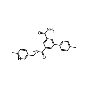 Cc1ccc(-c2cc(C(N)=O)cc(C(=O)NCc3ccc(C)nc3)c2)cc1